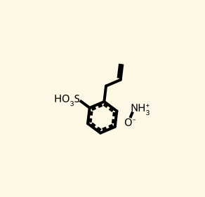 C=CCc1ccccc1S(=O)(=O)O.[NH3+][O-]